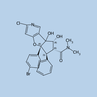 CN(C)C(=O)[C@H]1[C@@H](O)C2(O)c3cnc(Cl)cc3O[C@@]2(c2ccc(Br)cc2)[C@@H]1c1ccccc1